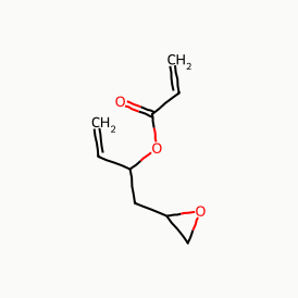 C=CC(=O)OC(C=C)CC1CO1